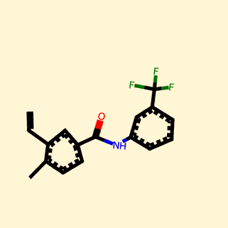 C=Cc1cc(C(=O)Nc2cccc(C(F)(F)F)c2)ccc1C